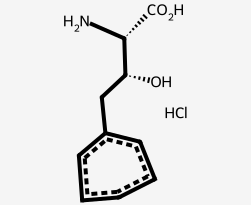 Cl.N[C@H](C(=O)O)[C@H](O)Cc1ccccc1